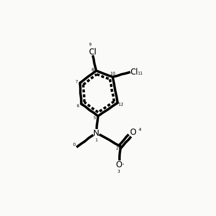 CN(C([O])=O)c1ccc(Cl)c(Cl)c1